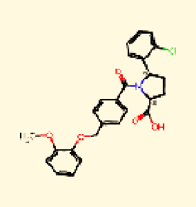 COc1ccccc1OCc1ccc(C(=O)N2[C@@H](c3ccccc3Cl)CC[C@H]2C(=O)O)cc1